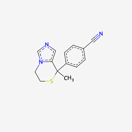 CC1(c2ccc(C#N)cc2)SCCn2cncc21